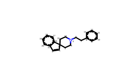 C1=CC2(CCN(CCc3ccccc3)CC2)c2ccccc21